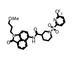 COCCCN1C(=O)c2cccc3c(NC(=O)C4CCCN(S(=O)(=O)c5cccc(C(F)(F)F)n5)C4)ccc1c23